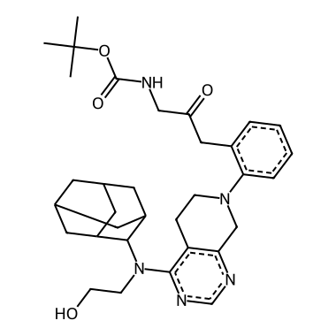 CC(C)(C)OC(=O)NCC(=O)Cc1ccccc1N1CCc2c(ncnc2N(CCO)C2C3CC4CC(C3)CC2C4)C1